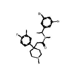 Cc1cc(C2(CC(=O)N(C)C(C)c3cc(Br)cc(Br)c3)CCN(C)CC2)ccc1F